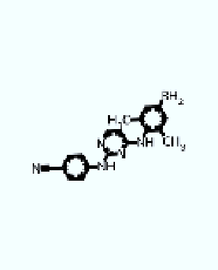 Bc1cc(C)c(Nc2ccnc(Nc3ccc(C#N)cc3)n2)c(C)c1